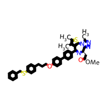 COC(=O)C[C@@H]1N=C(c2ccc(-c3ccc(OCCCc4ccc(SCc5ccccc5)cc4)cc3)cc2)c2c(sc(C)c2C)-n2c(C)nnc21